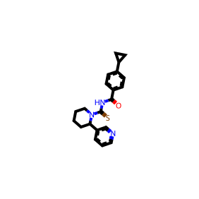 O=C(NC(=S)N1CCCCC1c1cccnc1)c1ccc(C2CC2)cc1